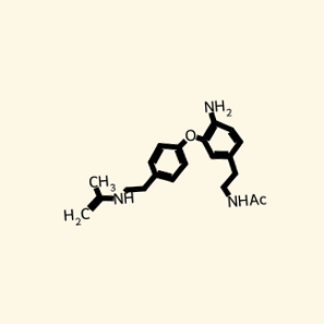 C=C(C)NCCc1ccc(Oc2cc(CCNC(C)=O)ccc2N)cc1